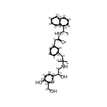 C[C@@H](NC(=O)Cc1cccc(CC(C)(C)NCC(O)c2ccc(O)c(CO)n2)c1)c1cccc2ccccc12